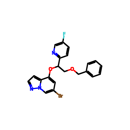 Fc1ccc(C(COCc2ccccc2)Oc2cc(Br)cn3nccc23)nc1